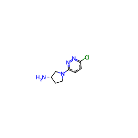 N[C@H]1CCN(c2ccc(Cl)nn2)C1